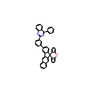 c1ccc(-c2nc(-c3cccc(-c4ccc5c(c4)-c4cc6ccccc6cc4C54c5ccccc5Oc5ccccc54)c3)nc3ccccc23)cc1